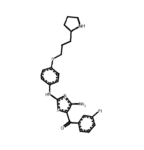 CCc1cccc(C(=O)c2sc(Nc3ccc(OCCCC4CCCN4)cc3)nc2N)c1